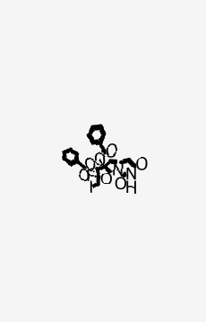 C=C[C@]1(OC(=O)c2ccccc2)[C@H](n2ccc(=O)[nH]c2=O)O[C@](F)(CI)[C@H]1OC(=O)c1ccccc1